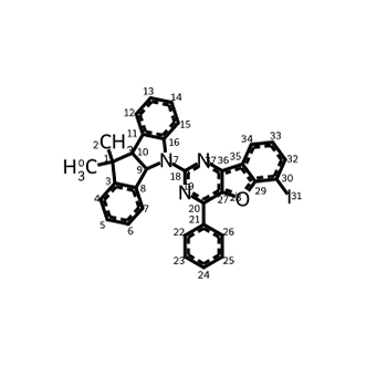 CC1(C)c2ccccc2C2C1c1ccccc1N2c1nc(-c2ccccc2)c2oc3c(I)cccc3c2n1